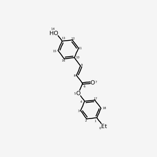 CCc1ccc(OC(=O)/C=C/c2ccc(O)cc2)cc1